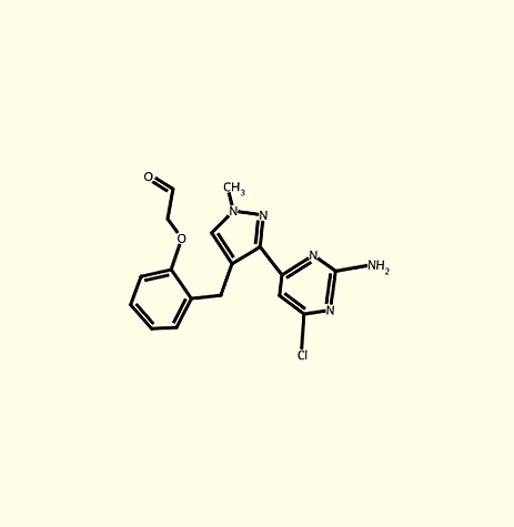 Cn1cc(Cc2ccccc2OCC=O)c(-c2cc(Cl)nc(N)n2)n1